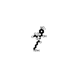 CCCCCCCCCCCCCCCC(=O)OC[C@@H](NC(=O)C(Cl)Cl)[C@H](O)c1ccc([N+](=O)[O-])cc1